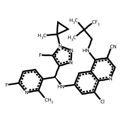 Cc1nc(F)ccc1[C@H](Nc1cc(Cl)c2ncc(C#N)c(NCC(C)(C)C(F)(F)F)c2c1)c1nnn(C2(C)CC2)c1F